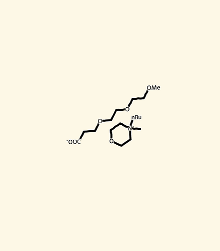 CCCC[N+]1(C)CCOCC1.COCCOCCOCCC(=O)[O-]